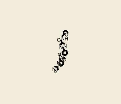 Cn1cc(-n2ccc(=O)c(CS(=O)(=O)c3cccc(-c4ncc(C(=O)NCC5CCCO5)cn4)c3)n2)cn1